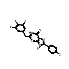 CCn1c(-c2ccc(Cl)cc2)nc2c(=O)[nH]c(Cc3cc(F)c(F)c(F)c3)nc21